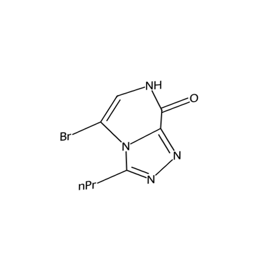 CCCc1nnc2c(=O)[nH]cc(Br)n12